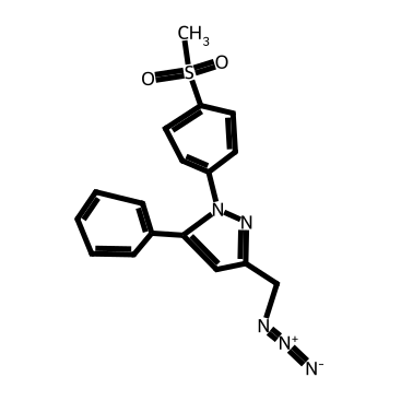 CS(=O)(=O)c1ccc(-n2nc(CN=[N+]=[N-])cc2-c2ccccc2)cc1